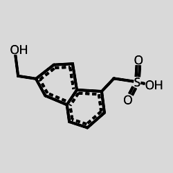 O=S(=O)(O)Cc1cccc2cc(CO)ccc12